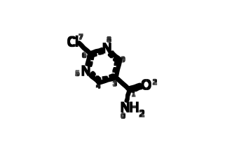 NC(=O)c1cnc(Cl)nc1